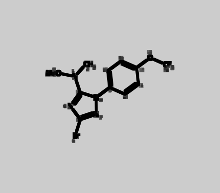 CON(C)c1nc(Br)nn1-c1ccc(OC(F)(F)F)cc1